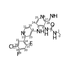 CCNC(=O)Nc1c(Nc2ccnc(-c3cc(Cl)c(F)cc3F)c2)ccnc1C=N